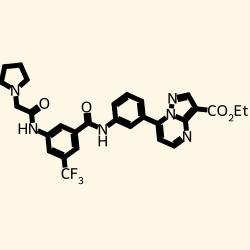 CCOC(=O)c1cnn2c(-c3cccc(NC(=O)c4cc(NC(=O)CN5CCCC5)cc(C(F)(F)F)c4)c3)ccnc12